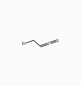 CCCC=C=S